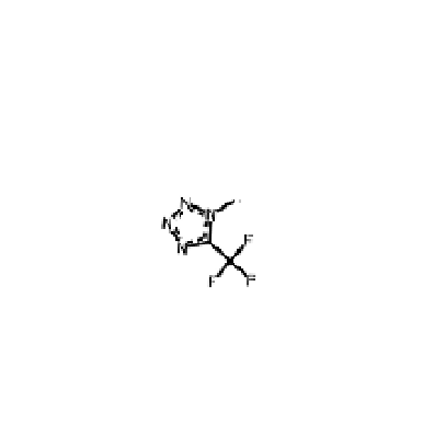 [CH2]n1nnnc1C(F)(F)F